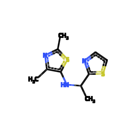 Cc1nc(C)c(NC(C)c2nccs2)s1